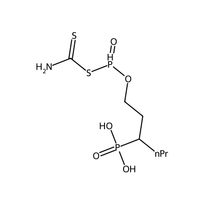 CCCC(CCO[PH](=O)SC(N)=S)P(=O)(O)O